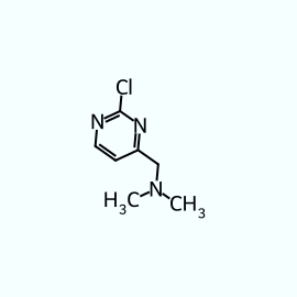 CN(C)Cc1ccnc(Cl)n1